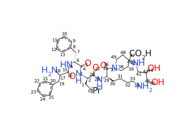 CC(C)C[C@@H](NC(=O)[C@@H](Cc1ccccc1)NC(=O)[C@H](N)Cc1ccccc1)C(=O)N[C@H](CCCCN)C(=O)N1CCC(NC[C@@H](O)CO)(C(=O)O)CC1